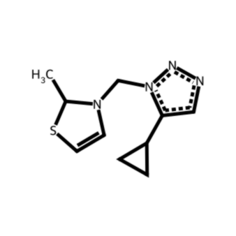 CC1SC=CN1Cn1nncc1C1CC1